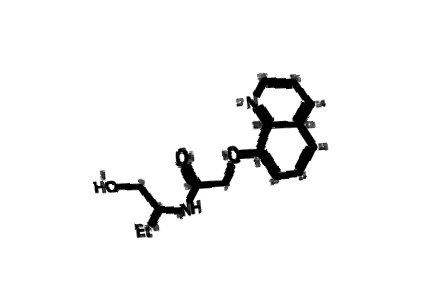 CCC(CO)NC(=O)COc1cccc2cccnc12